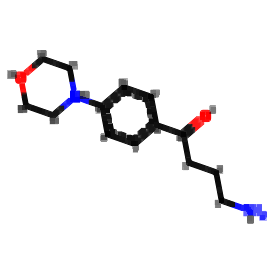 NCCCC(=O)c1ccc(N2CCOCC2)cc1